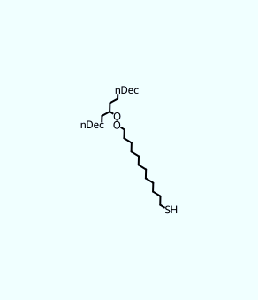 CCCCCCCCCCCCC(CCCCCCCCCCC)OOCCCCCCCCCCCCS